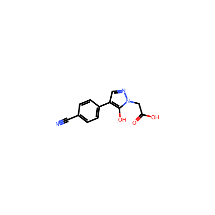 N#Cc1ccc(-c2cnn(CC(=O)O)c2O)cc1